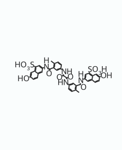 Cc1ccc(NC(=O)C(=O)Nc2ccc(C)c(C(=O)Nc3cc(S(=O)(=O)O)c4cc(O)ccc4c3)c2)cc1C(=O)Nc1cc(S(=O)(=O)O)c2cc(O)ccc2c1